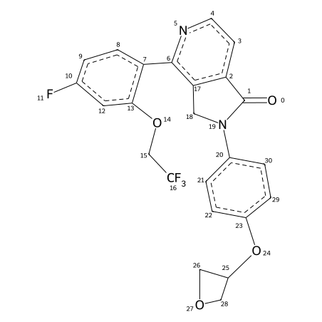 O=C1c2ccnc(-c3ccc(F)cc3OCC(F)(F)F)c2CN1c1ccc(OC2COC2)cc1